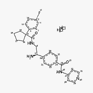 Cl.Cl.N[C@@H](CNC(=O)C1(c2ccc(F)cc2)CCCC1)c1ccc(C(=O)Nc2ccncc2)cc1